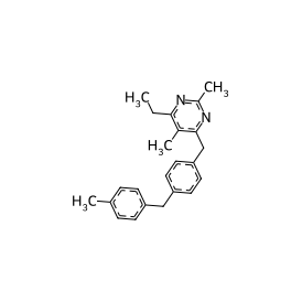 CCc1nc(C)nc(Cc2ccc(Cc3ccc(C)cc3)cc2)c1C